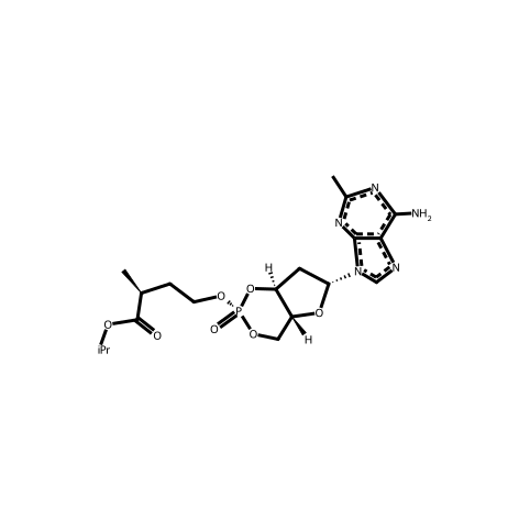 Cc1nc(N)c2ncn([C@H]3C[C@@H]4O[P@@](=O)(OCC[C@H](C)C(=O)OC(C)C)OC[C@H]4O3)c2n1